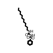 CCCCCCCCCCCCNC(=O)NS(=O)(=O)c1ccccc1